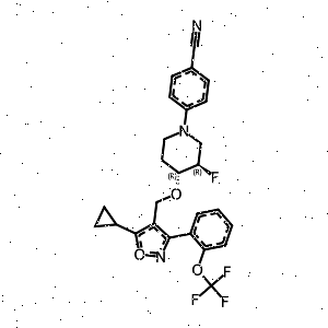 N#Cc1ccc(N2CC[C@@H](OCc3c(-c4ccccc4OC(F)(F)F)noc3C3CC3)[C@H](F)C2)cc1